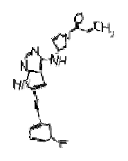 C=CC(=O)N1CC[C@@H](Nc2ncnc3[nH]c(C#Cc4cccc(F)c4)cc23)C1